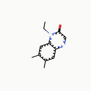 CCn1c(=O)cnc2cc(C)c(C)cc21